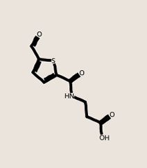 O=Cc1ccc(C(=O)NCCC(=O)O)s1